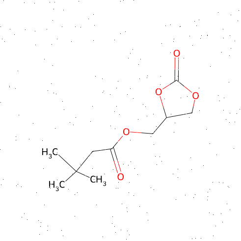 CC(C)(C)CC(=O)OCC1COC(=O)O1